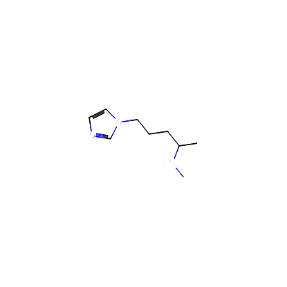 CNC(C)CCCn1ccnc1